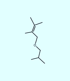 CC(C)=C(C)COCC(C)C